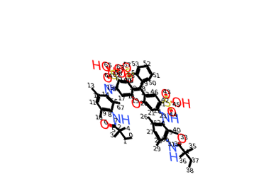 CCC(C)(C)C(=O)Nc1c(C)cc(C)c(/N=c2\cc3oc4cc(Nc5c(C)cc(C)c(NC(=O)C(C)(C)CC)c5C)c(S(=O)(=O)O)cc4c(-c4ccccc4S(=O)(=O)O)c-3cc2S(=O)(=O)O)c1C